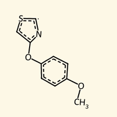 COc1ccc(Oc2cs[c]n2)cc1